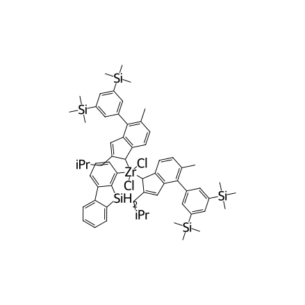 Cc1ccc2c(c1-c1cc([Si](C)(C)C)cc([Si](C)(C)C)c1)C=C(CC(C)C)[CH]2[Zr]([Cl])([Cl])([c]1cccc2c1[SiH2]c1ccccc1-2)[CH]1C(CC(C)C)=Cc2c1ccc(C)c2-c1cc([Si](C)(C)C)cc([Si](C)(C)C)c1